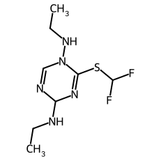 CCNC1N=CN(NCC)C(SC(F)F)=N1